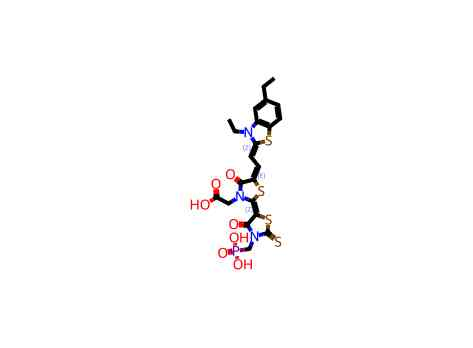 CCc1ccc2c(c1)N(CC)/C(=C/C=c1/s/c(=C3\SC(=S)N(CP(=O)(O)O)C3=O)n(CC(=O)O)c1=O)S2